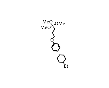 CC[C@H]1CC[C@H](c2ccc(OCCC[Si](OC)(OC)OC)cc2)CC1